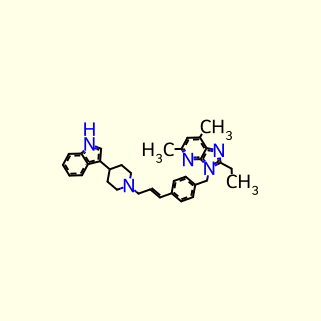 CCc1nc2c(C)cc(C)nc2n1Cc1ccc(C=CCN2CCC(c3c[nH]c4ccccc34)CC2)cc1